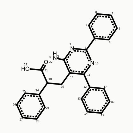 Nc1nc(-c2ccccc2)nc(-c2ccccc2)c1CC(C(=O)O)c1ccccc1